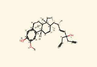 C#CCC(O)(/C=C/[C@@H](C)[C@H]1CC[C@H]2[C@@H]3CCc4cc(O)c(OC)cc4[C@H]3CC[C@]12C)CC#C